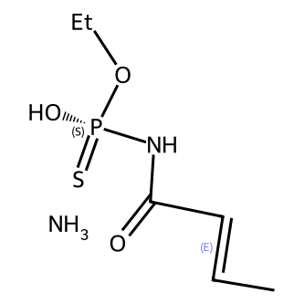 C/C=C/C(=O)N[P@@](O)(=S)OCC.N